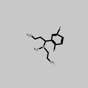 CCCC(c1cc(F)ccc1F)N(C)CCC